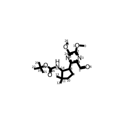 COc1nc(C=O)c(C2CCC(C)(C)C2NC(=O)OC(C)(C)C)nc1OC